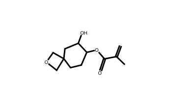 C=C(C)C(=O)OC1CCC2(COC2)CC1O